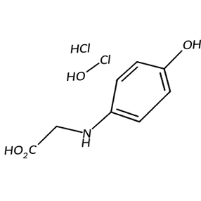 Cl.O=C(O)CNc1ccc(O)cc1.OCl